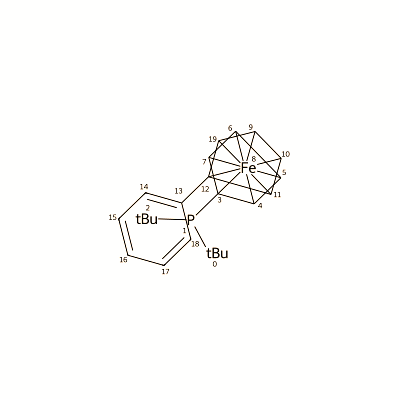 CC(C)(C)P(C(C)(C)C)[C]12[CH]3[CH]4[CH]5[CH]1[Fe]45321678[CH]2[CH]1[CH]6[C]7(c1ccccc1)[CH]28